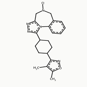 Cc1onc(C2CCC(c3nnc4n3-c3ccccc3CN(Cl)C4)CC2)c1C